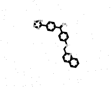 C=C(c1ccc(OCc2ccc3ccccc3n2)cc1)c1ccc(-c2nnn[nH]2)cc1